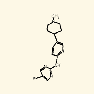 CN1CCC(c2ccc(Nc3ncc(F)cn3)nc2)CC1